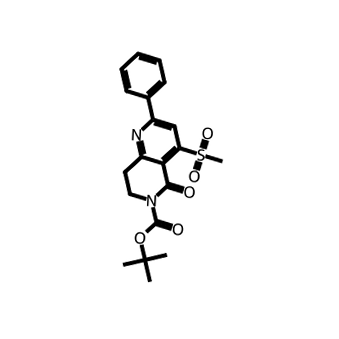 CC(C)(C)OC(=O)N1CCc2nc(-c3ccccc3)cc(S(C)(=O)=O)c2C1=O